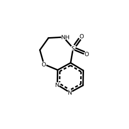 O=S1(=O)NCCOc2nnccc21